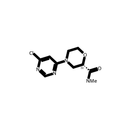 CNC(=O)[C@@H]1CN(c2cc(Cl)ncn2)CCO1